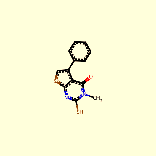 Cn1c(S)nc2scc(-c3ccccc3)c2c1=O